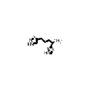 [CH2]C(CCCc1c[nH]nn1)c1nc[nH]n1